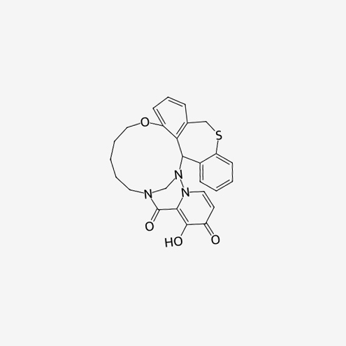 O=C1c2c(O)c(=O)ccn2N2CN1CCCCCOc1cccc3c1C2c1ccccc1SC3